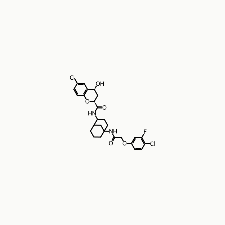 O=C(COc1ccc(Cl)c(F)c1)NC12CCCC(C1)C(NC(=O)[C@@H]1C[C@H](O)c3cc(Cl)ccc3O1)CC2